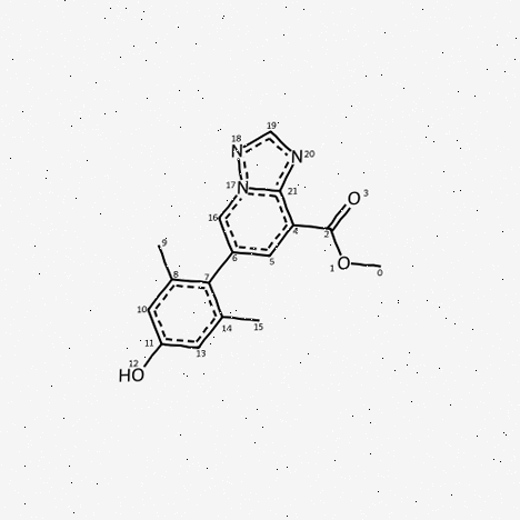 COC(=O)c1cc(-c2c(C)cc(O)cc2C)cn2ncnc12